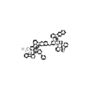 Cc1cc2c3c(c1)N(c1cccc4c1oc1ccccc14)c1cc(-c4ccccc4)ccc1B3n1c3cc4cc(Cc5cc6c7c(c5)N5c8ccccc8C8(c9ccccc9-c9ccccc98)c8cccc(c85)B7n5c7cc8ccccc8cc7c7cccc-6c75)ccc4cc3c3cccc-2c31